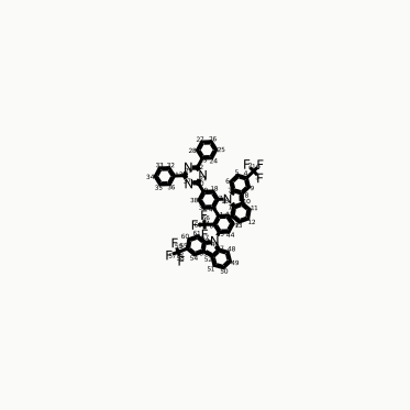 FC(F)(F)c1ccc2c(c1)c1ccccc1n2-c1cc(-c2nc(-c3ccccc3)nc(-c3ccccc3)n2)ccc1-c1cccc(-n2c3ccccc3c3cc(C(F)(F)F)ccc32)c1C(F)(F)F